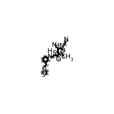 CCn1c(=C(C#N)C(=O)NCC#N)sc(=CNc2cccc(CCN3CCSC3)c2)c1=O